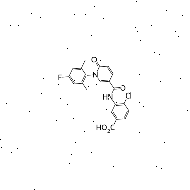 Cc1cc(F)cc(C)c1-n1cc(C(=O)Nc2cc(C(=O)O)ccc2Cl)ccc1=O